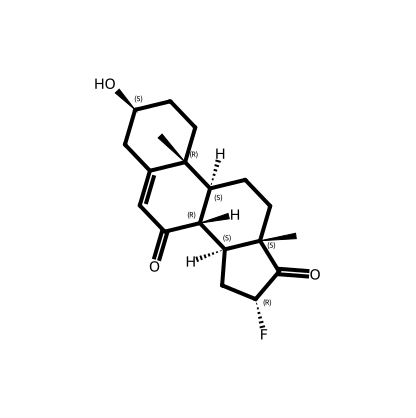 C[C@]12CC[C@H](O)CC1=CC(=O)[C@@H]1[C@@H]2CC[C@]2(C)C(=O)[C@H](F)C[C@@H]12